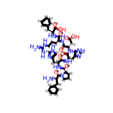 N=C(N)NCCC[C@H](NC(=O)[C@H](CC(=O)O)NC(=O)[C@H](Cc1c[nH]cn1)NC(=O)[C@H](Cc1c[nH]cn1)NC(=O)[C@@H]1CCCN1C(=O)[C@@H](N)Cc1ccccc1)C(=O)N[C@@H](Cc1ccccc1)C(=O)O